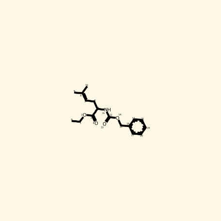 CCOC(=O)C(CC=C(C)C)NC(=O)OCc1ccccc1